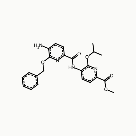 COC(=O)c1ccc(NC(=O)c2ccc(N)c(OCc3ccccc3)n2)c(OC(C)C)n1